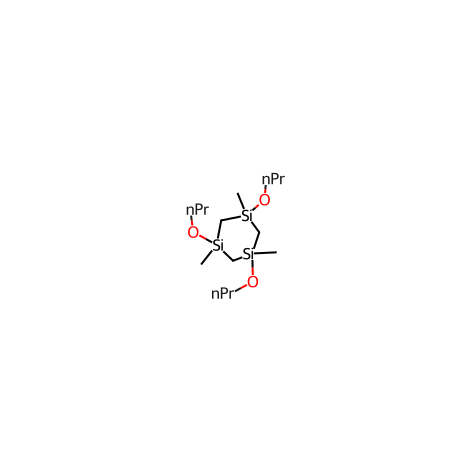 CCCO[Si]1(C)C[Si](C)(OCCC)C[Si](C)(OCCC)C1